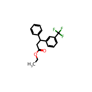 CCOC(=O)CC(c1c[c]ccc1)c1cccc(C(F)(F)F)c1